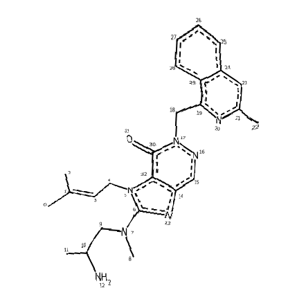 CC(C)=CCn1c(N(C)CC(C)N)nc2cnn(Cc3nc(C)cc4ccccc34)c(=O)c21